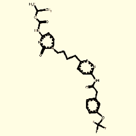 CC(C)OC(=O)Nc1ccn(CCCCc2ccc(NC(=O)Cc3cccc(OC(F)(F)F)c3)nn2)c(=O)n1